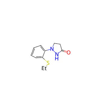 CCSc1ccccc1N1CCC(=O)N1